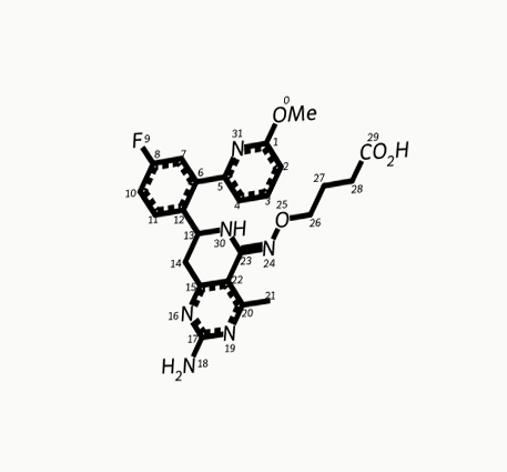 COc1cccc(-c2cc(F)ccc2C2Cc3nc(N)nc(C)c3/C(=N/OCCCC(=O)O)N2)n1